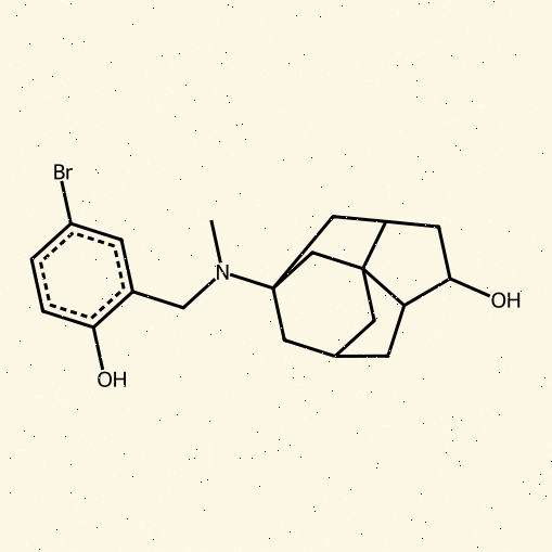 CN(Cc1cc(Br)ccc1O)C12CC3CC4C(O)CC(C1)C4(C3)C2